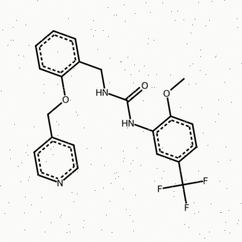 COc1ccc(C(F)(F)F)cc1NC(=O)NCc1ccccc1OCc1ccncc1